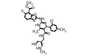 CN/C=C(\C=N)CNC(=O)C1=C(C)NC(Nc2nc3ccc(F)c(C(=O)OC)c3o2)=NC1c1ccc(C)cc1Cl